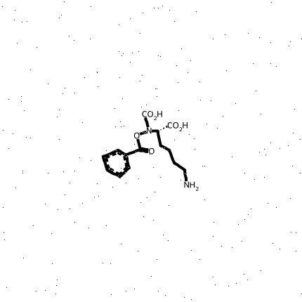 NCCCC[C@@H](C(=O)O)N(OC(=O)c1ccccc1)C(=O)O